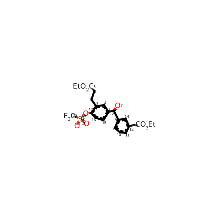 CCOC(=O)CCc1cc(C(=O)c2cccc(C(=O)OCC)c2)ccc1OS(=O)(=O)C(F)(F)F